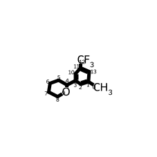 Cc1cc(C2CCCCO2)cc(C(F)(F)F)c1